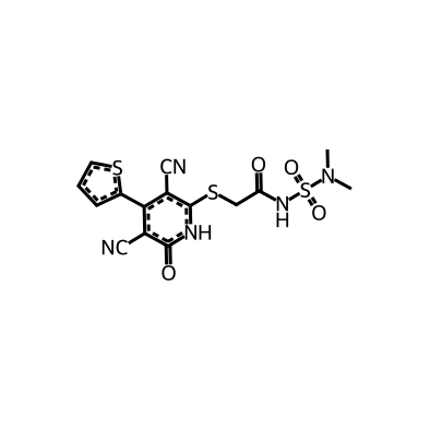 CN(C)S(=O)(=O)NC(=O)CSc1[nH]c(=O)c(C#N)c(-c2cccs2)c1C#N